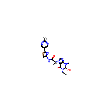 CC(=O)CN1C(=O)c2c(ncn2[C@@H](C)C(=O)Nc2csc(-c3cnc(C(F)(F)F)nc3)n2)N(C)C1O